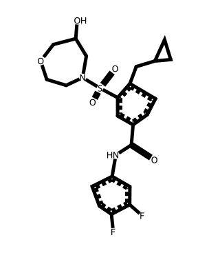 O=C(Nc1ccc(F)c(F)c1)c1ccc(CC2CC2)c(S(=O)(=O)N2CCOCC(O)C2)c1